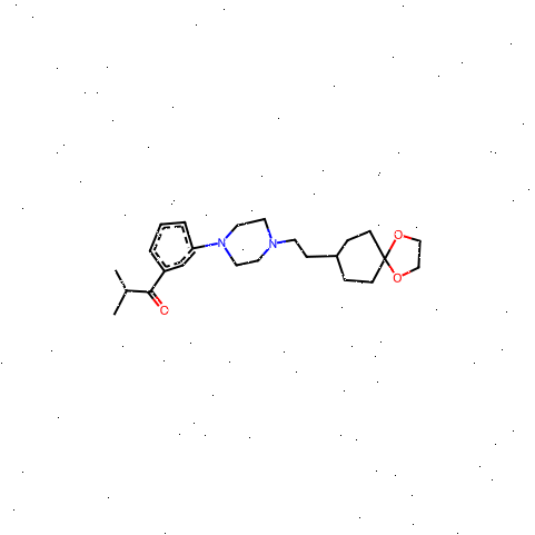 CC(C)C(=O)c1cccc(N2CCN(CCC3CCC4(CC3)OCCO4)CC2)c1